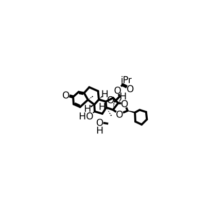 CC(C)C(=O)OCC(=O)[C@@]12O[C@H](C3CCCCC3)O[C@@H]1C[C@H]1[C@@H]3CCC4=CC(=O)C=C[C@]4(C)[C@H]3[C@@H](O)C[C@@]12C.CO